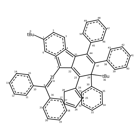 CC(C)(C)c1ccc2c(c1)=[C]([Zr]=[C](c1ccccc1)c1ccccc1)C1=C(C3=CC=CC3)C(c3ccccc3)(C(C)(C)C)C(c3ccccc3)=C(c3ccccc3)C=21